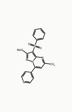 CSc1nn2c(-c3ccncc3)cc(C)nc2c1S(=O)(=O)c1ccccc1